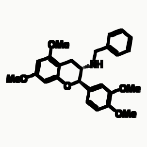 COc1cc(OC)c2c(c1)O[C@H](c1ccc(OC)c(OC)c1)[C@@H](NCc1ccccc1)C2